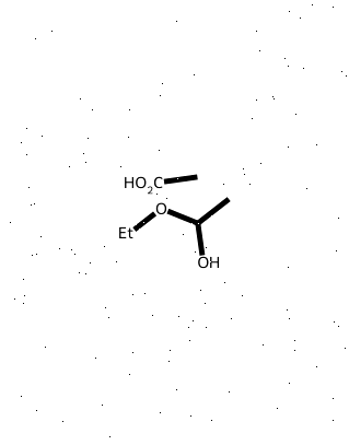 CC(=O)O.CCOC(C)O